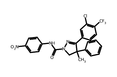 CC1(c2ccccc2)CN(C(=O)Nc2ccc([N+](=O)[O-])cc2)N=C1c1ccc(C(F)(F)F)c(Cl)c1